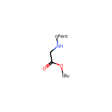 CCCCCNCC(=O)OC(C)(C)C